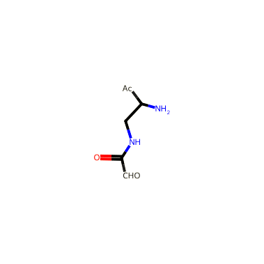 CC(=O)C(N)CNC(=O)C=O